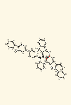 CC1(C)c2ccccc2-c2cccc(N(c3ccc(-c4ccc5c(c4)oc4ccccc45)cc3)c3ccccc3-c3cccc4c3oc3c5ccccc5ccc43)c21